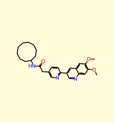 COc1cc2cc(-c3ccc(CC(=O)NC4CCCCCCCCC4)cn3)cnc2cc1OC